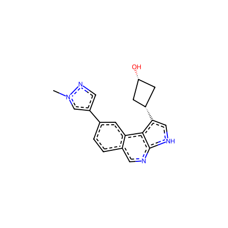 Cn1cc(-c2ccc3cnc4[nH]cc([C@H]5C[C@@H](O)C5)c4c3c2)cn1